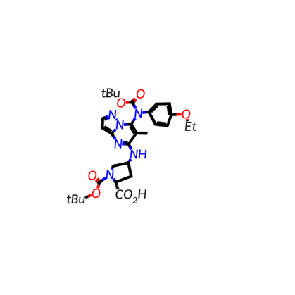 CCOc1ccc(N(C(=O)OC(C)(C)C)c2c(C)c(NC3CC(C(=O)O)N(C(=O)OC(C)(C)C)C3)nc3ccnn23)cc1